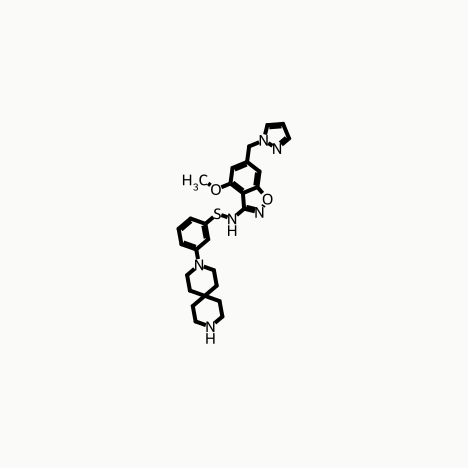 COc1cc(Cn2cccn2)cc2onc(NSc3cccc(N4CCC5(CCNCC5)CC4)c3)c12